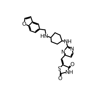 O=C1NC(=O)/C(=C\c2ccnc(NC3CCC(NCc4ccc5occc5c4)CC3)n2)S1